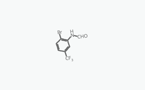 O=CNc1cc(C(F)(F)F)ccc1Br